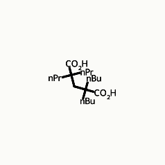 CCCCC(CCCC)(CC(CCC)(CCC)C(=O)O)C(=O)O